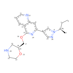 CC[C@@H](C)n1cc(-c2cc3ncccc3c(OC[C@@H]3CNCCO3)n2)cn1